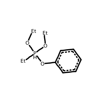 CCO[PH](CC)(OCC)Oc1ccccc1